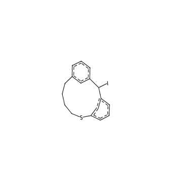 IC1c2cccc(c2)CCCCSc2cccc1c2